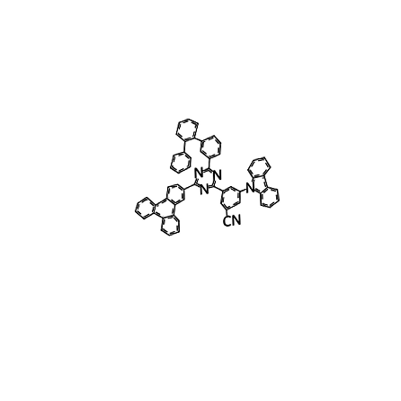 N#Cc1cc(-c2nc(-c3cccc(-c4ccccc4-c4ccccc4)c3)nc(-c3ccc4c5ccccc5c5ccccc5c4c3)n2)cc(-n2c3ccccc3c3ccccc32)c1